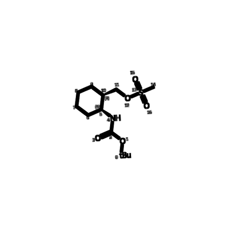 CC(C)(C)OC(=O)N[C@H]1CCCC[C@H]1COS(C)(=O)=O